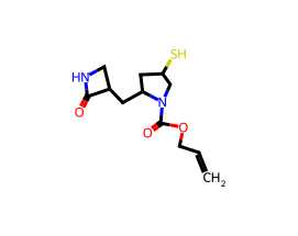 C=CCOC(=O)N1CC(S)CC1CC1CNC1=O